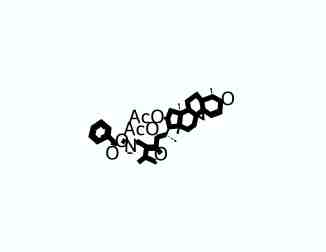 CC(=O)OC(C1=C(CN(C)OC(=O)c2ccccc2)C(C)CO1)[C@@H](C)[C@H]1[C@@H](OC(C)=O)C[C@@]2(C)C3CCC4[C@H](C)C(=O)C=C[C@@]45C[C@@]35CC[C@]12C